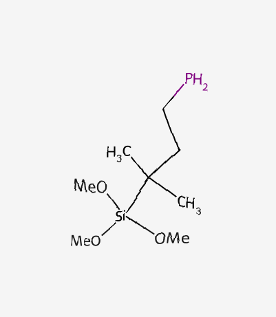 CO[Si](OC)(OC)C(C)(C)CCP